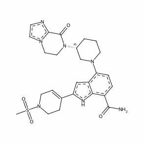 CS(=O)(=O)N1CC=C(c2cc3c(N4CCC[C@@H](N5CCn6ccnc6C5=O)C4)ccc(C(N)=O)c3[nH]2)CC1